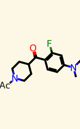 CC(=O)N1CCC(C(=O)c2ccc(N(C)C)cc2F)CC1